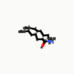 CCCCCCCCCCCCCCCC(=O)O.CCCCCCCCCCCCCCCC(N)=O